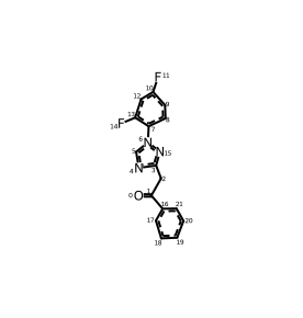 O=C(Cc1ncn(-c2ccc(F)cc2F)n1)c1ccccc1